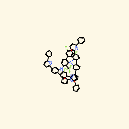 Fc1cc(F)cc(-c2ccc(-n3c4cc(-c5cccc(-c6ccccc6)n5)ccc4c4ccc(-c5cccc(-c6ccccc6)n5)cc43)c(C(F)(F)F)c2-n2c3cc(-c4cccc(-c5ccccc5)n4)ccc3c3ccc(-c4cccc(-c5ccccc5)n4)cc32)c1